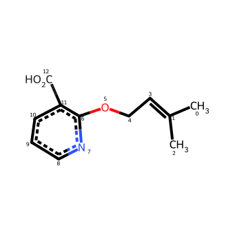 CC(C)=CCOc1ncccc1C(=O)O